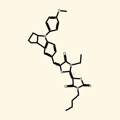 CCCCN1C(=O)/C(=c2\s/c(=C/c3ccc4c(c3)C3CCCC3N4c3ccc(OC)cc3)c(=O)n2CC)SC1=S